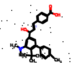 Cc1ccc(-c2cc(C(O)/C=C/c3ccc(C(=O)O)cc3)cc(N(C)C)c2C(C)(C)C)cc1